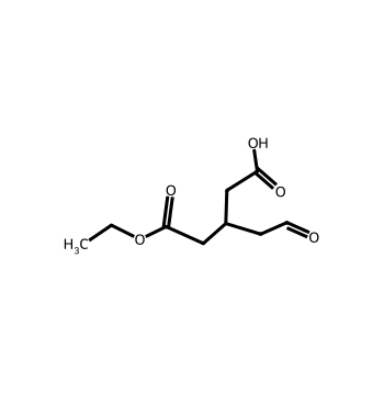 CCOC(=O)CC(CC=O)CC(=O)O